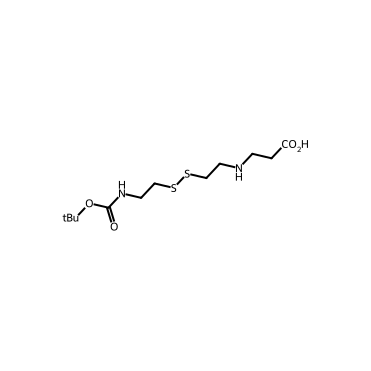 CC(C)(C)OC(=O)NCCSSCCNCCC(=O)O